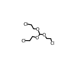 ClCCOC(OCCCl)OCCCl